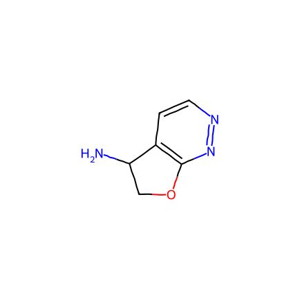 NC1COc2nnccc21